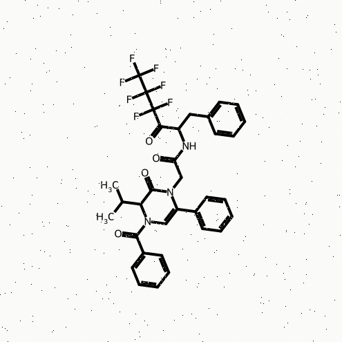 CC(C)C1C(=O)N(CC(=O)NC(Cc2ccccc2)C(=O)C(F)(F)C(F)(F)C(F)(F)F)C(c2ccccc2)=CN1C(=O)c1ccccc1